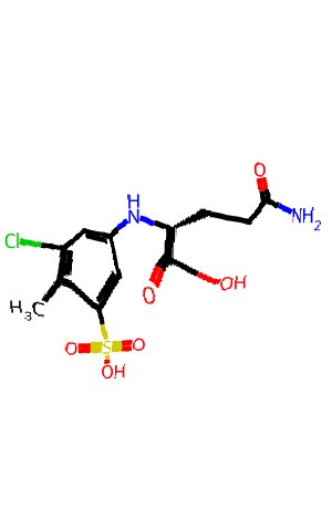 Cc1c(Cl)cc(N[C@@H](CCC(N)=O)C(=O)O)cc1S(=O)(=O)O